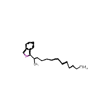 CCCCCCCCCCCC(C)C1=c2ccccc2=C[P]1